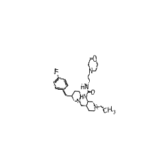 CCN1CC[C@@H](CN2CCCC(Cc3ccc(F)cc3)C2)[C@@H](NC(=O)NCCN2CCOCC2)C1